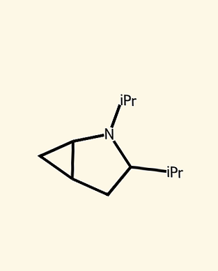 CC(C)C1CC2CC2N1C(C)C